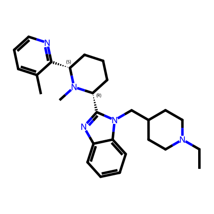 CCN1CCC(Cn2c([C@H]3CCC[C@@H](c4ncccc4C)N3C)nc3ccccc32)CC1